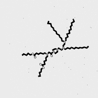 CCCCCCCCCCCCN(CCCCCCCCCCCC)CCN(CCCCCCCCCCCC)CCN1CCN(C(=O)CN(CCCCCC(=O)OCCCCC)CCCCCC(=O)OCCCCC)CC1